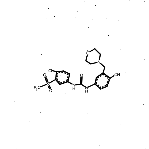 N#Cc1ccc(NC(=O)Nc2ccc(Cl)c(S(=O)(=O)C(F)(F)F)c2)cc1CN1CCOCC1